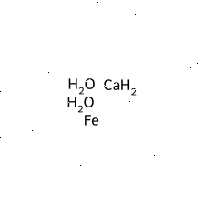 O.O.[CaH2].[Fe]